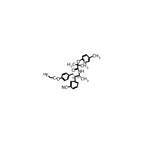 Cc1ccc(OC(C)(C)C(=O)N[C@@H](C)[C@@H](Cc2ccc(OCC[18F])cc2)c2cccc(C#N)c2)nc1